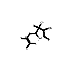 CCC(O)C(C)(O)C(O)CC(C)=C(C)C